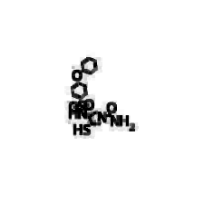 NC(=O)N1C[C@H](NS(=O)(=O)c2ccc(Oc3ccccc3)cc2)[C@@H](S)C1